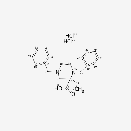 CCC1(C(=O)O)CN(Cc2ccccc2)CCN1Cc1ccccc1.Cl.Cl